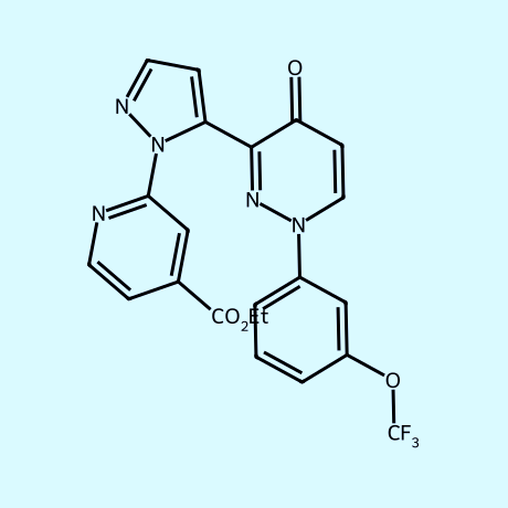 CCOC(=O)c1ccnc(-n2nccc2-c2nn(-c3cccc(OC(F)(F)F)c3)ccc2=O)c1